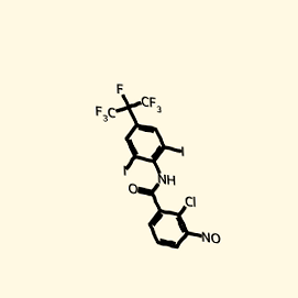 O=Nc1cccc(C(=O)Nc2c(I)cc(C(F)(C(F)(F)F)C(F)(F)F)cc2I)c1Cl